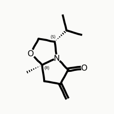 C=C1C[C@@]2(C)OC[C@H](C(C)C)N2C1=O